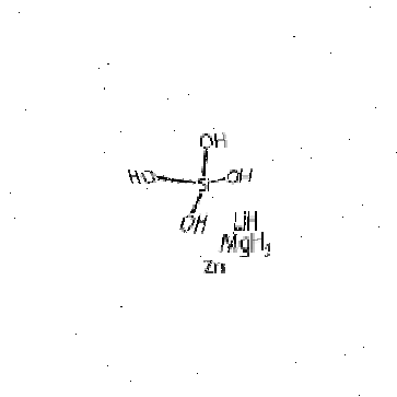 O[Si](O)(O)O.[LiH].[MgH2].[Zn]